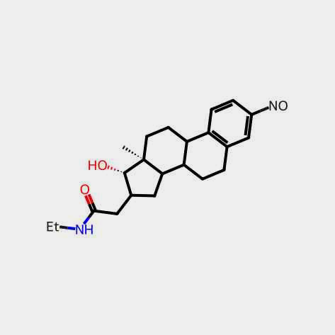 CCNC(=O)CC1CC2C3CCc4cc(N=O)ccc4C3CC[C@]2(C)[C@H]1O